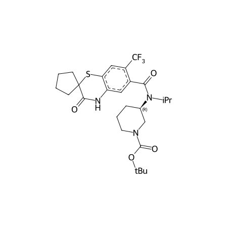 CC(C)N(C(=O)c1cc2c(cc1C(F)(F)F)SC1(CCCC1)C(=O)N2)[C@@H]1CCCN(C(=O)OC(C)(C)C)C1